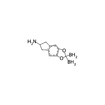 BC1(B)Oc2cc3c(cc2O1)CC(N)C3